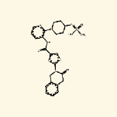 CS(=O)(O)=NC1CCN(c2ncccc2NC(=O)c2csc(N3Cc4ccccc4CC3=O)n2)CC1